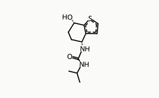 CC(C)NC(=O)N[C@@H]1CC[C@H](O)c2sccc21